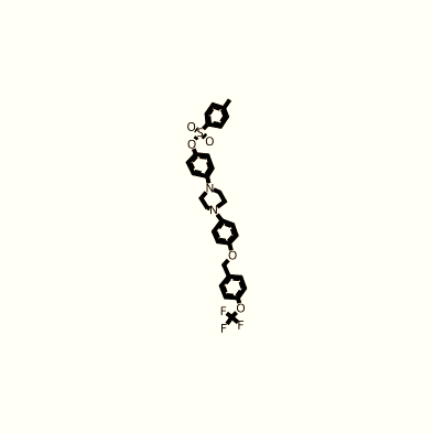 Cc1ccc(S(=O)(=O)Oc2ccc(N3CCN(c4ccc(OCc5ccc(OC(F)(F)F)cc5)cc4)CC3)cc2)cc1